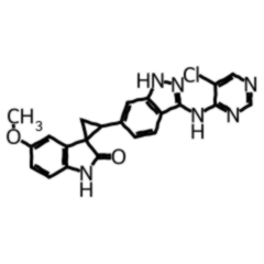 COc1ccc2c(c1)C1(CC1c1ccc3c(Nc4ncncc4Cl)n[nH]c3c1)C(=O)N2